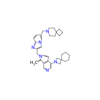 C=C1c2cncc(N3CC4(CCCCC4)C3)c2C=CN1Cc1cn2cc(CN3CCC4(CCC4)CC3)ccc2n1